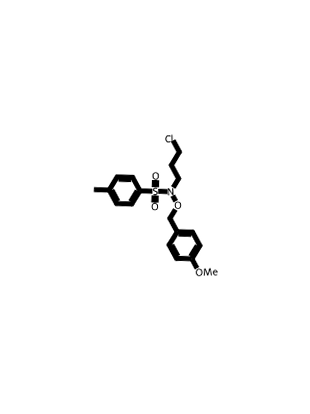 COc1ccc(CON(CCCCl)S(=O)(=O)c2ccc(C)cc2)cc1